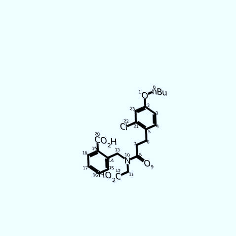 CCCCOc1ccc(CCC(=O)N(CC(=O)O)Cc2ccccc2C(=O)O)c(Cl)c1